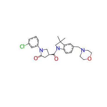 CC1(C)CN(C(=O)[C@H]2CC(=O)N(c3cccc(Cl)c3)C2)c2ccc(CN3CCOCC3)cc21